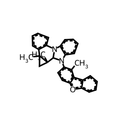 Cc1c(N2c3ccccc3N3c4ccccc4C4(C)CC4(C)C32)ccc2oc3ccccc3c12